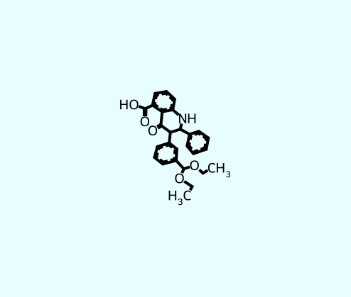 CCOC(OCC)c1cccc(C2C(=O)c3c(cccc3C(=O)O)NC2c2ccccc2)c1